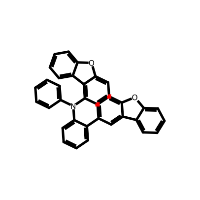 c1ccc(N(c2ccccc2-c2ccc3oc4ccccc4c3c2)c2cccc3oc4ccccc4c23)cc1